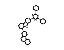 c1ccc(-c2cc(-c3ccccc3)nc(-c3ccc4c(c3)oc3c(-c5ccc6c(ccc7ccccc76)c5)cccc34)n2)cc1